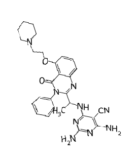 CC(Nc1nc(N)nc(N)c1C#N)c1nc2cccc(OCCN3CCCCC3)c2c(=O)n1-c1ccccc1